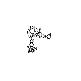 O=C(N[C@H]1C[C@H]2C[C@H]2C[C@H]2CC[C@@H](C(=O)N[C@H]3CN(c4cccnc4)C[C@H]3F)N2C1=O)c1cc2cc(C(F)(F)P(=O)(O)O)ccc2s1